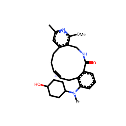 CCN(c1cccc2c1C/C=C\CCc1cc(C)nc(OC)c1CNC2=O)C1CCC(O)CC1